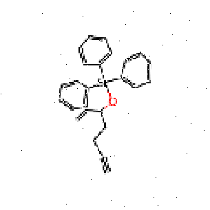 C#CCCC(C=C)O[Si](c1ccccc1)(c1ccccc1)c1ccccc1